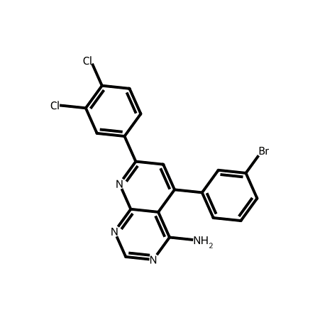 Nc1ncnc2nc(-c3ccc(Cl)c(Cl)c3)cc(-c3cccc(Br)c3)c12